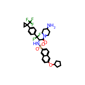 NC1CCN(C(=O)[C@@H](NS(=O)(=O)c2ccc3cc(OC4CCCC4)ccc3c2)C(F)(F)c2ccc(C3(C(F)(F)F)CC3)cc2)CC1